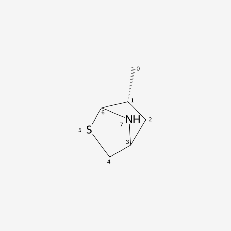 C[C@@H]1CC2CSC1N2